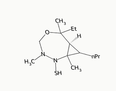 CCCC1[C@@H]2C(C)(CC)OCN(C)N(S)C12C